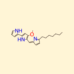 CCCCCCCC1=NC(=Cc2[nH]c(-c3ccc[nH]3)cc2OC)C=C1